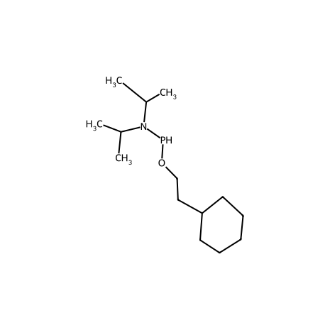 CC(C)N(POCCC1CCCCC1)C(C)C